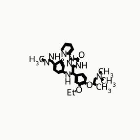 CCOc1cc(C(Nc2ccc(/C(N)=N/C)cc2)c2nn(-c3ccccn3)c(=O)[nH]2)ccc1OC(C)CN(C)C